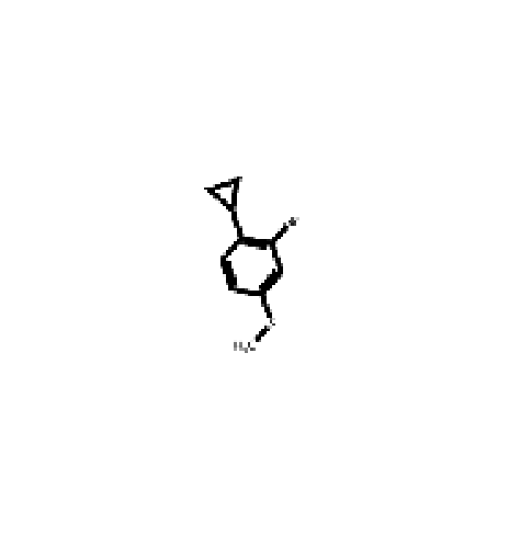 CSc1ccc(C2CC2)c(Br)c1